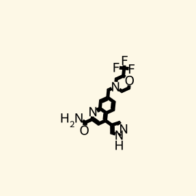 NC(=O)c1cc(-c2cn[nH]c2)c2ccc(CN3CCOC(C(F)(F)F)C3)cc2n1